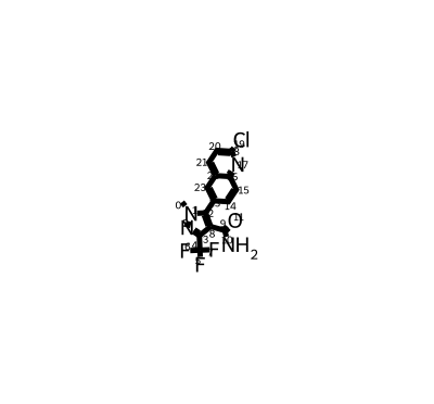 Cn1nc(C(F)(F)F)c(C(N)=O)c1-c1ccc2nc(Cl)ccc2c1